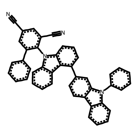 N#Cc1cc(C#N)c(-n2c3ccccc3c3c(-c4ccc5c6ccccc6n(-c6ccccc6)c5c4)cccc32)c(-c2ccccc2)c1